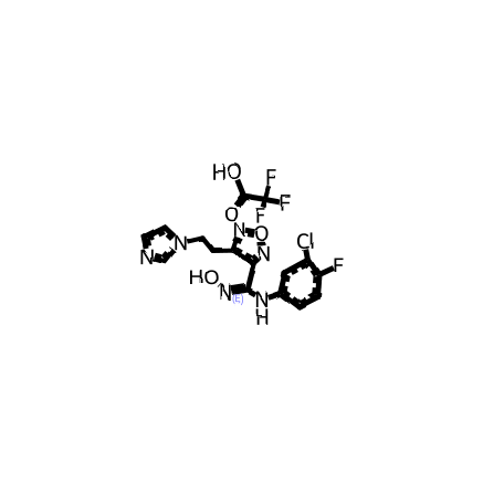 O/N=C(/Nc1ccc(F)c(Cl)c1)c1nonc1CCn1ccnc1.O=C(O)C(F)(F)F